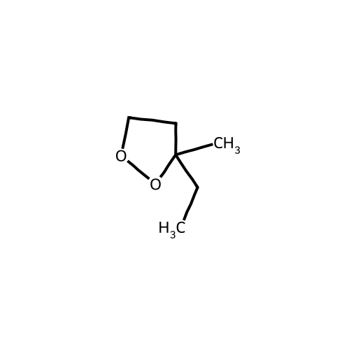 CCC1(C)CCOO1